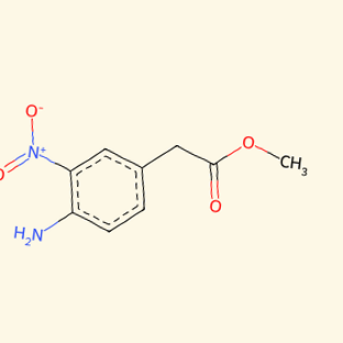 COC(=O)Cc1ccc(N)c([N+](=O)[O-])c1